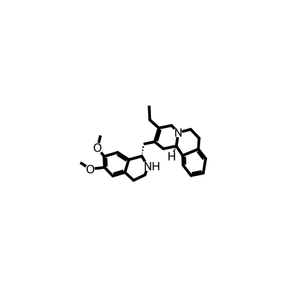 CCC1=C(C[C@@H]2NCCc3cc(OC)c(OC)cc32)C[C@@H]2c3ccccc3CCN2C1